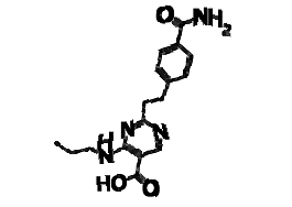 CCCNc1nc(CCc2ccc(C(N)=O)cc2)ncc1C(=O)O